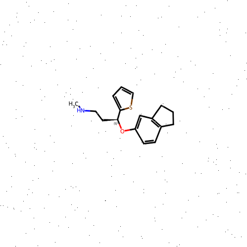 CNCC[C@H](Oc1ccc2c(c1)CCC2)c1cccs1